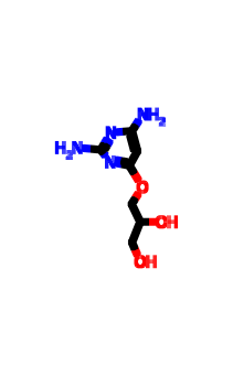 Nc1cc(OCC(O)CO)nc(N)n1